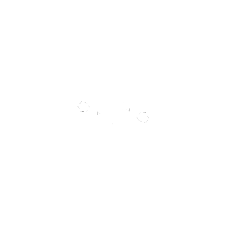 CC(C)(CCC(C)(C)NCc1ccccc1)NCc1ccccc1